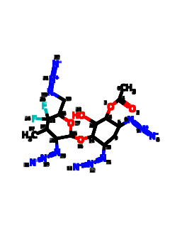 CC(=O)OC1C(N=[N+]=[N-])CC(N=[N+]=[N-])C(OC2OC(CN=[N+]=[N-])C(F)(F)C(C)C2N=[N+]=[N-])C1O